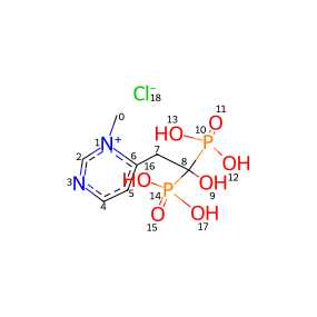 C[n+]1cnccc1CC(O)(P(=O)(O)O)P(=O)(O)O.[Cl-]